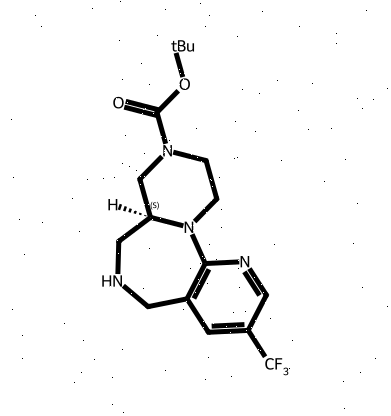 CC(C)(C)OC(=O)N1CCN2c3ncc(C(F)(F)F)cc3CNC[C@H]2C1